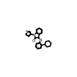 O=C1/C(=N\c2ccccc2C2CCCCC2)c2ccccc2N1c1ccsc1